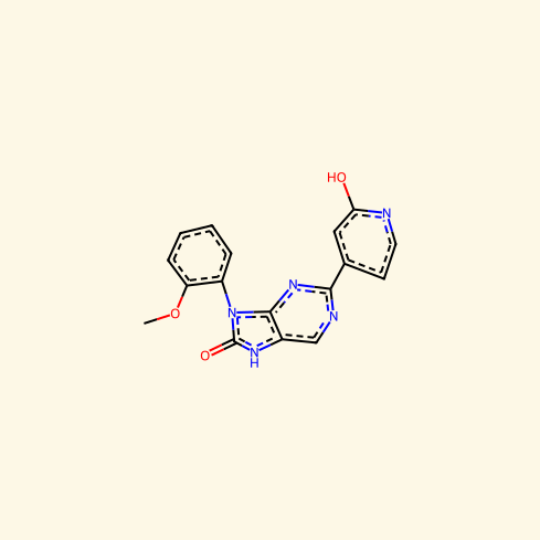 COc1ccccc1-n1c(=O)[nH]c2cnc(-c3ccnc(O)c3)nc21